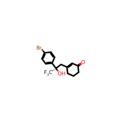 O=C1C=C(C[C@@](O)(c2ccc(Br)cc2)C(F)(F)F)CCC1